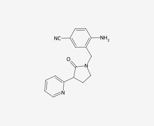 N#Cc1ccc(N)c(CN2CCC(c3ccccn3)C2=O)c1